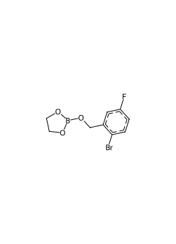 Fc1ccc(Br)c(COB2OCCO2)c1